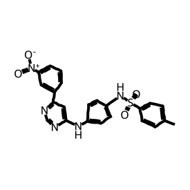 Cc1ccc(S(=O)(=O)Nc2ccc(Nc3cc(-c4cccc([N+](=O)[O-])c4)ncn3)cc2)cc1